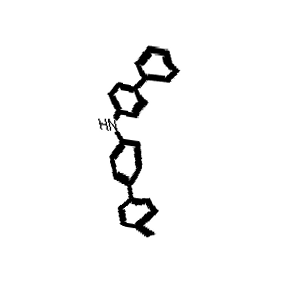 Cc1ccc(-c2ccc(Nc3ccc(-c4ccccc4)cc3)cc2)cc1